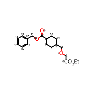 CCOC(=O)COCC1CCC(C(=O)OCc2ccccc2)CC1